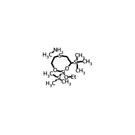 CCO[Si]1([Si](C)(C)C)OCCSCC([Si](C)(C)C)O1.CN